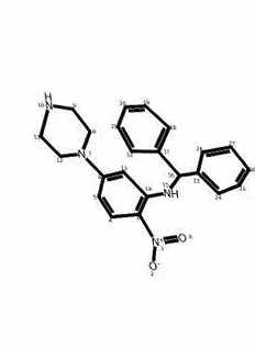 O=[N+]([O-])c1ccc(N2CCNCC2)cc1NC(c1ccccc1)c1ccccc1